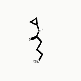 CC(C)(C)CCCC(=S)NC1CC1